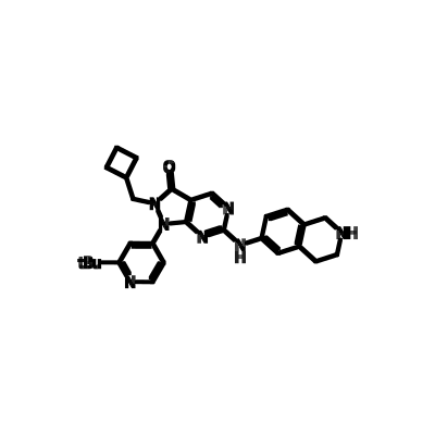 CC(C)(C)c1cc(-n2c3nc(Nc4ccc5c(c4)CCNC5)ncc3c(=O)n2CC2CCC2)ccn1